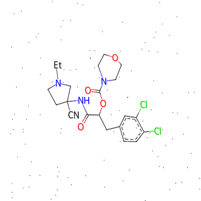 CCN1CCC(C#N)(NC(=O)C(Cc2ccc(Cl)c(Cl)c2)OC(=O)N2CCOCC2)C1